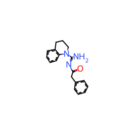 NC(=NC(=O)Cc1ccccc1)N1CCCc2ccccc21